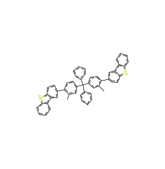 Cc1cc(C(c2ccccc2)(c2ccccc2)c2ccc(-c3ccc4sc5ccccc5c4c3)c(C)c2)ccc1-c1ccc2sc3ccccc3c2c1